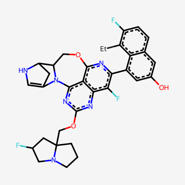 CCc1c(F)ccc2cc(O)cc(-c3nc4c5c(nc(OCC67CCCN6CC(F)C7)nc5c3F)N3C5=CNC(C5)C3CO4)c12